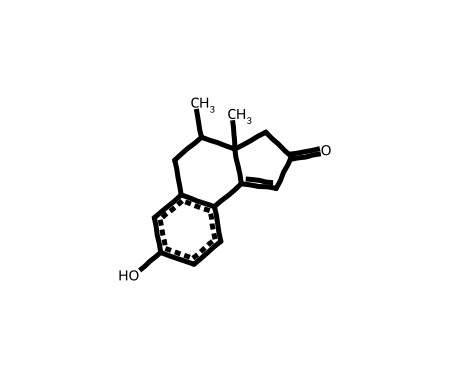 CC1Cc2cc(O)ccc2C2=CC(=O)CC21C